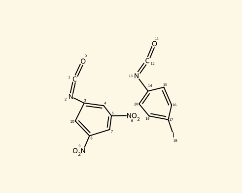 O=C=Nc1cc([N+](=O)[O-])cc([N+](=O)[O-])c1.O=C=Nc1ccc(I)cc1